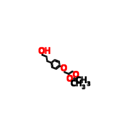 CC1(C)OCC(COc2ccc(CCCO)cc2)O1